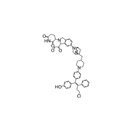 O=CC(=O)C1c2cc(N3CC4CCC3CN4CC3CCN(c4ccc(C(=C(CCCl)c5ccccc5)c5ccc(O)cc5)cc4)CC3)ccc2CN1C1CCC(=O)NC1=O